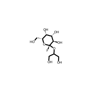 OCC(CO)O[C@]1(F)O[C@H](CO)[C@H](O)[C@H](O)[C@H]1O